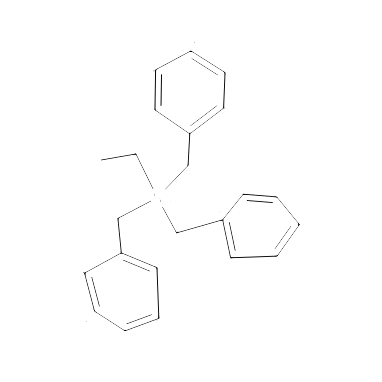 [CH2]C[Si](Cc1ccccc1)(Cc1ccccc1)Cc1ccccc1